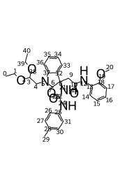 CCOC(CN1C(=O)C(CC(=O)Nc2ccccc2OC)(NC(=O)Nc2ccc(C)cc2)c2ccccc21)OCC